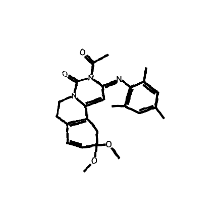 COC1(OC)C=CC2=C(C1)c1cc(=Nc3c(C)cc(C)cc3C)n(C(C)=O)c(=O)n1CC2